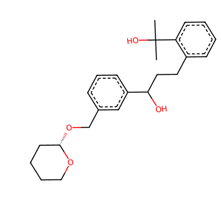 CC(C)(O)c1ccccc1CCC(O)c1cccc(CO[C@H]2CCCCO2)c1